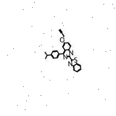 C#CCOc1ccc2nc(-c3nc4ccccc4s3)nc(-c3ccc(C(C)C)cc3)c2c1